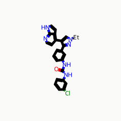 CCn1cc(-c2ccnc3[nH]ccc23)c(-c2cccc(NC(=O)Nc3cccc(Cl)c3)c2)n1